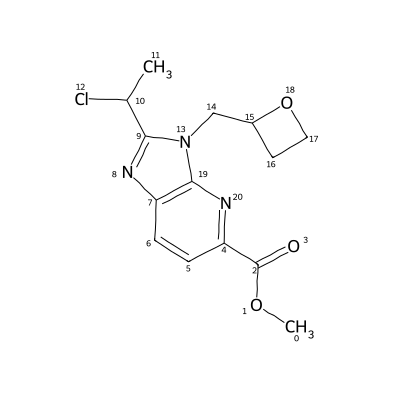 COC(=O)c1ccc2nc(C(C)Cl)n(CC3CCO3)c2n1